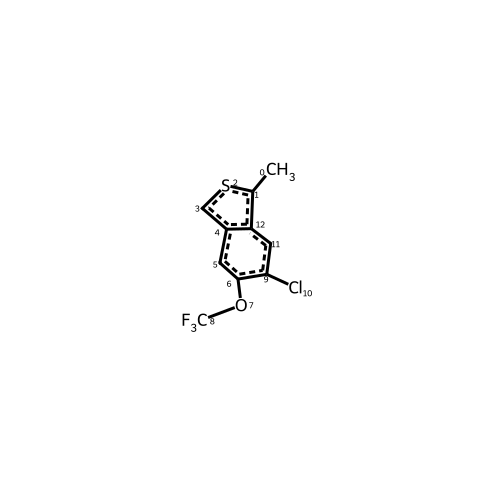 Cc1scc2cc(OC(F)(F)F)c(Cl)cc12